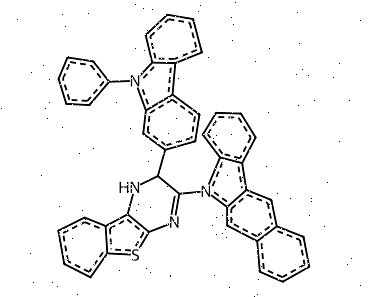 c1ccc(-n2c3ccccc3c3ccc(C4Nc5c(sc6ccccc56)N=C4n4c5ccccc5c5cc6ccccc6cc54)cc32)cc1